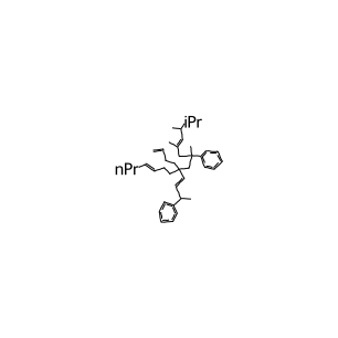 C=CCCC(C=CC(C)c1ccccc1)(CCC=CCCC)CC(C)(CC(C)=CC(C)C(C)C)c1ccccc1